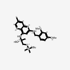 CCCC[C@](C)(CO[Si](C)(C)C(C)(C)C)Nc1cc(NCc2ccc(OC)cc2OC)nc2cc(C)cnc12